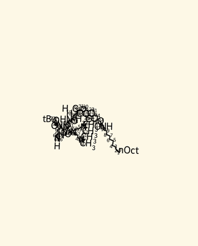 CCCCCCCC/C=C\CCCCCCCCNC(=O)O[C@@H]1CC[C@@]2(C)C(CCC3C2CC[C@@]2(C)C3CC[C@@H]2[C@H](C)CCC(=O)N[C@H]2C[C@@H](C(=O)N(CCCN(C)C)CCCN(C)C)N(C(=O)C(Cc3c[nH]cn3)NC(=O)OC(C)(C)C)C2)C1